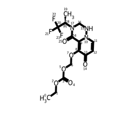 CCOC(=O)OCOc1c2n(ccc1=O)NCN([C@H](C)C(F)(F)F)C2=O